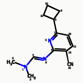 CN(C)C=Nc1nc(C2CCC2)ccc1C#N